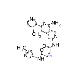 Cc1ccncc1-c1cc2cc(NC(=O)/C=C\C(=O)Nc3cnn(C)c3)ncc2c(N)n1